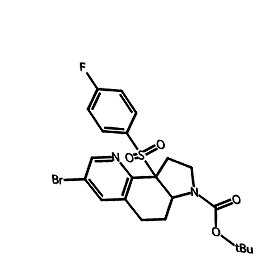 CC(C)(C)OC(=O)N1CCC2(S(=O)(=O)c3ccc(F)cc3)c3ncc(Br)cc3CCC12